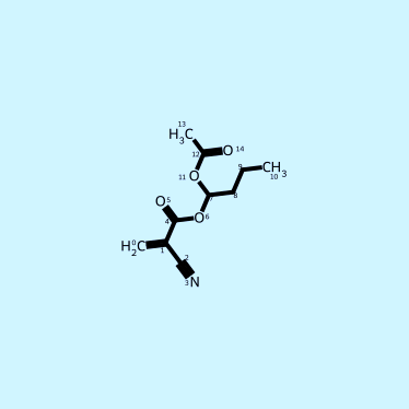 C=C(C#N)C(=O)OC(CCC)OC(C)=O